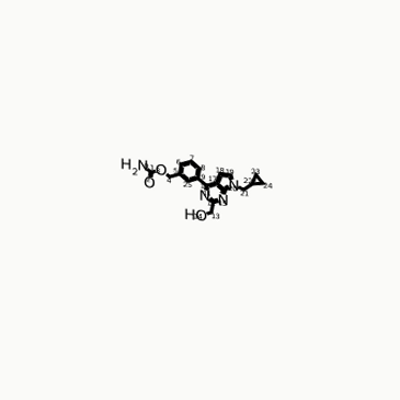 NC(=O)OCc1cccc(-c2nc(CO)nc3c2ccn3CC2CC2)c1